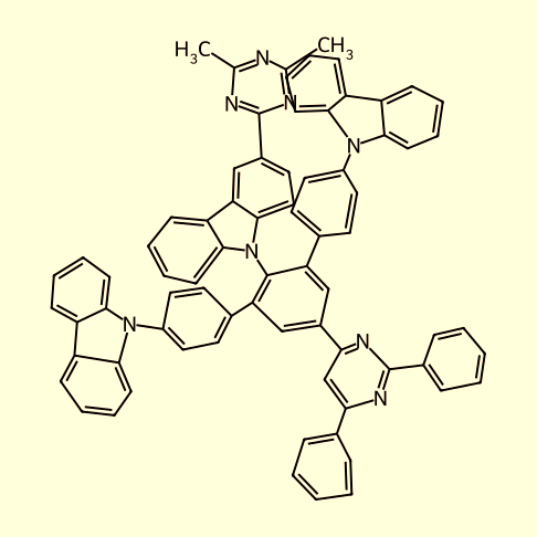 Cc1nc(C)nc(-c2ccc3c(c2)c2ccccc2n3-c2c(-c3ccc(-n4c5ccccc5c5ccccc54)cc3)cc(-c3cc(-c4ccccc4)nc(-c4ccccc4)n3)cc2-c2ccc(-n3c4ccccc4c4ccccc43)cc2)n1